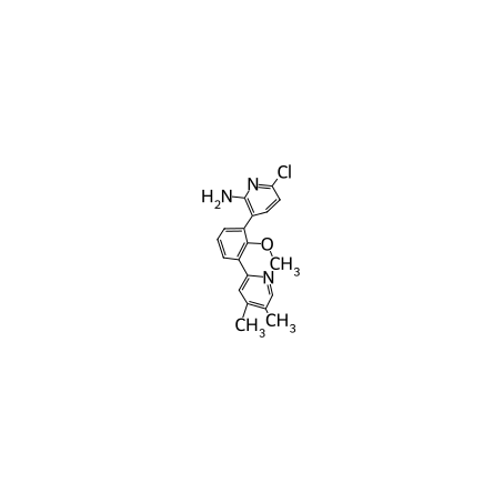 COc1c(-c2cc(C)c(C)cn2)cccc1-c1ccc(Cl)nc1N